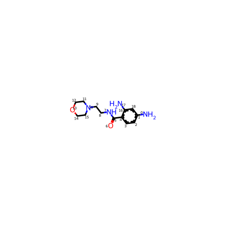 Nc1ccc(C(=O)NCCN2CCOCC2)c(N)c1